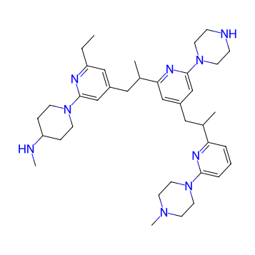 CCc1cc(CC(C)c2cc(CC(C)c3cccc(N4CCN(C)CC4)n3)cc(N3CCNCC3)n2)cc(N2CCC(NC)CC2)n1